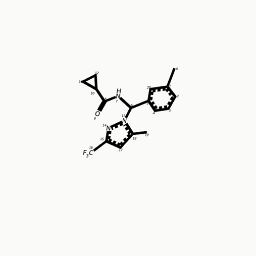 Cc1cccc(C(NC(=O)C2CC2)n2nc(C(F)(F)F)cc2C)c1